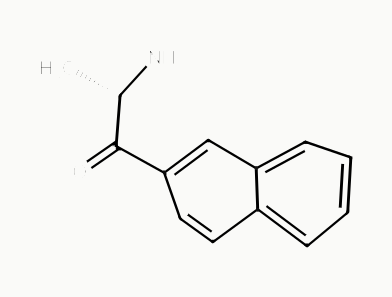 C[C@H]([NH])C(=O)c1ccc2ccccc2c1